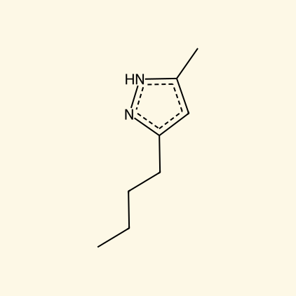 CCCCc1cc(C)[nH]n1